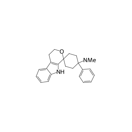 CNC1(c2ccccc2)CCC2(CC1)OCCc1c2[nH]c2ccccc12